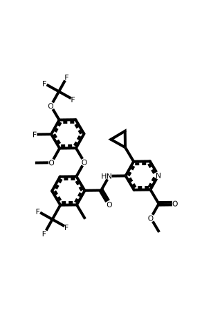 COC(=O)c1cc(NC(=O)c2c(Oc3ccc(OC(F)(F)F)c(F)c3OC)ccc(C(F)(F)F)c2C)c(C2CC2)cn1